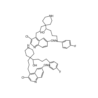 COc1ccc2ncc(Cl)c(CCCC3(C(O)CCCCc4ccc(F)cc4)CCNCC3)c2c1.COc1ccc2ncc(Cl)c(CCCC3(C(O)CCCc4ccc(F)cc4)CCNCC3)c2c1